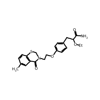 CCOC(Cc1ccc(OCCN2CSc3ccc(C)cc3C2=O)cc1)C(N)=O